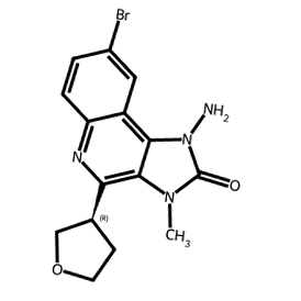 Cn1c(=O)n(N)c2c3cc(Br)ccc3nc([C@H]3CCOC3)c21